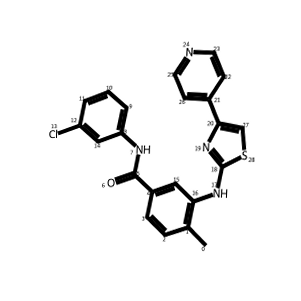 Cc1ccc(C(=O)Nc2cccc(Cl)c2)cc1Nc1nc(-c2ccncc2)cs1